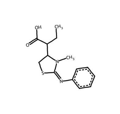 CCC(C(=O)O)C1CSC(=Nc2ccccc2)N1C